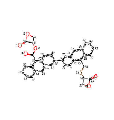 O=C(OC1COC1=O)c1c2ccccc2cc2cc(-c3ccc4c(CSC5COC5=O)c5ccccc5cc4c3)ccc12